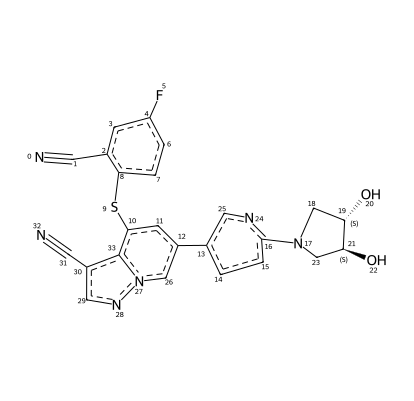 N#Cc1cc(F)ccc1Sc1cc(-c2ccc(N3C[C@H](O)[C@@H](O)C3)nc2)cn2ncc(C#N)c12